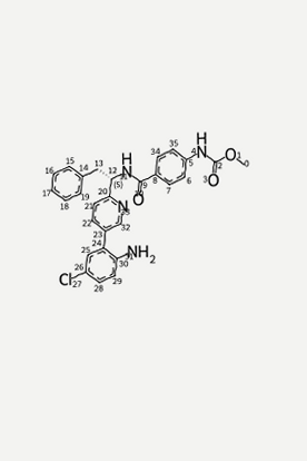 COC(=O)Nc1ccc(C(=O)N[C@@H](Cc2ccccc2)c2ccc(-c3cc(Cl)ccc3N)cn2)cc1